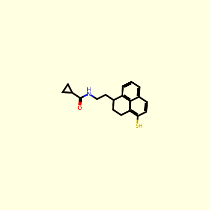 O=C(NCCC1CCc2c(S)ccc3cccc1c23)C1CC1